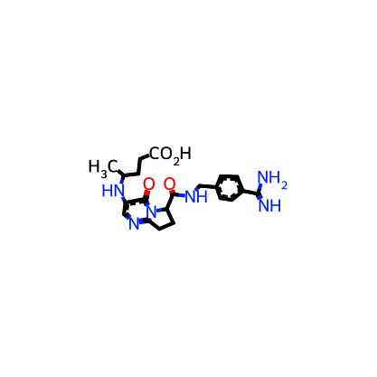 CC(CCC(=O)O)Nc1cnc2n(c1=O)C(C(=O)NCc1ccc(C(=N)N)cc1)CC2